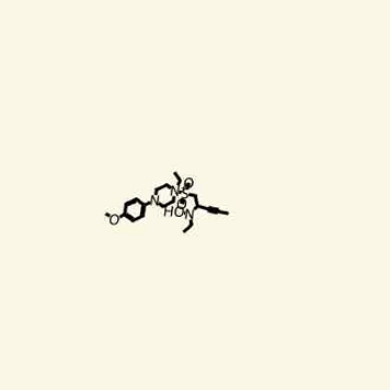 CC#CC(CS(=O)(=O)[N+]1(CC)CCN(c2ccc(OC)cc2)CC1)N(O)CC